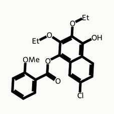 CCOc1c(OCC)c(OC(=O)c2ccccc2OC)c2cc(Cl)ccc2c1O